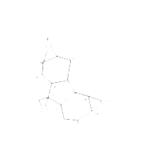 C1CC(C2(C3CCC4OC4C3)CO2)CC2OC12